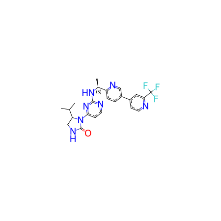 CC(C)C1CNC(=O)N1c1ccnc(N[C@@H](C)c2ccc(-c3ccnc(C(F)(F)F)c3)cn2)n1